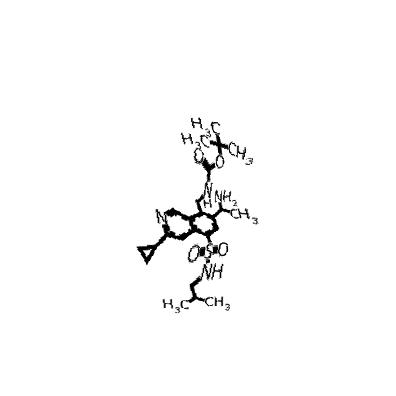 CC(C)CNS(=O)(=O)c1cc(C(C)N)c(CNC(=O)OC(C)(C)C)c2cnc(C3CC3)cc12